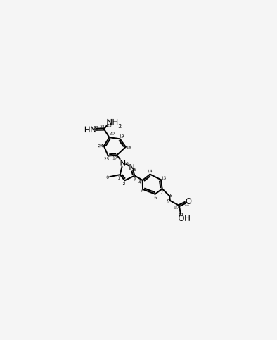 Cc1cc(-c2ccc(CCC(=O)O)cc2)nn1-c1ccc(C(=N)N)cc1